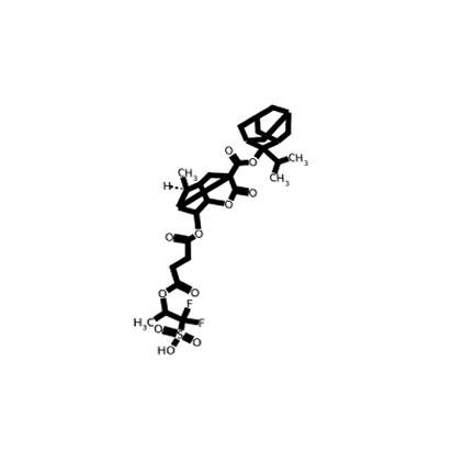 CC(C)C1(OC(=O)C23CC4C(OC2=O)C(OC(=O)CCC(=O)OC(C)C(F)(F)S(=O)(=O)O)C3[C@H]4C)C2CC3CC(C2)CC1C3